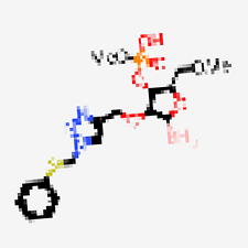 B[C@@H]1O[C@H](COC)[C@H](OP(=O)(O)OC)C1OCc1cn(CSc2ccccc2)nn1